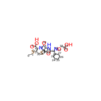 CCSC1=C(C(=O)O)N2C(=O)C(NC(=O)C(=NOCC(=O)O)c3ccccc3)[C@@H]2SC1